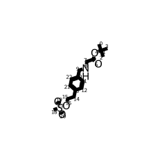 CC(C)(C)OC(=O)CNCc1ccc(CCOS(C)(=O)=O)cc1